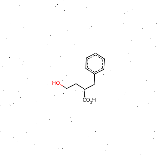 O=C(O)[C@@H](CCO)Cc1ccccc1